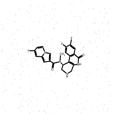 CN(C(=O)c1cc2cc(F)ccn2c1)[C@@H]1CNCc2[nH]c(=O)c3cc(F)c(F)cc3c21